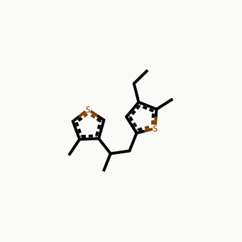 CCc1cc(CC(C)c2cscc2C)sc1C